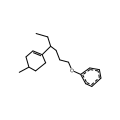 CCC(CCCOc1ccccc1)C1=CCC(C)CC1